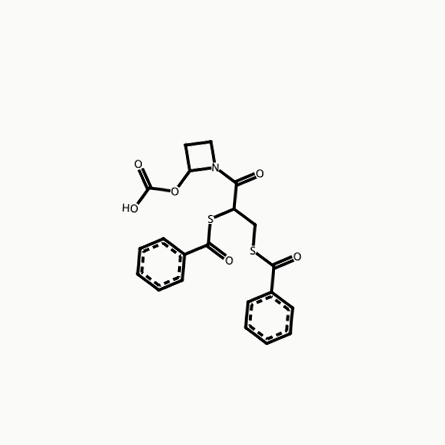 O=C(O)OC1CCN1C(=O)C(CSC(=O)c1ccccc1)SC(=O)c1ccccc1